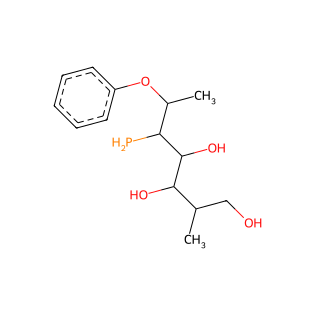 CC(CO)C(O)C(O)C(P)C(C)Oc1ccccc1